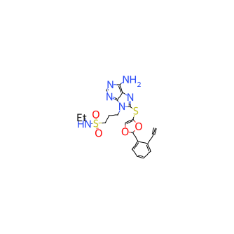 C#Cc1ccccc1C1OC=C(Sc2nc3c(N)ncnc3n2CCCS(=O)(=O)NCC)O1